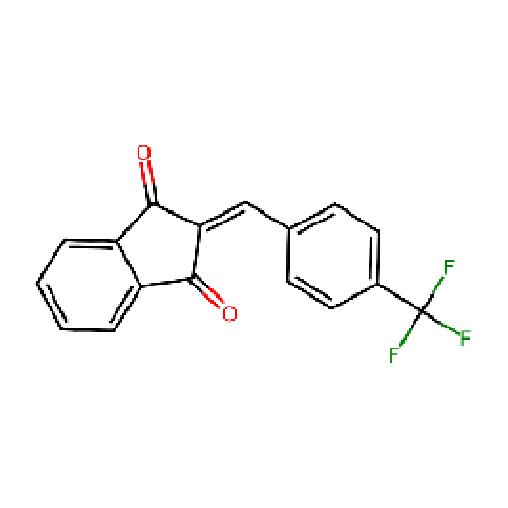 O=C1C(=Cc2ccc(C(F)(F)F)cc2)C(=O)c2ccccc21